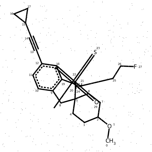 COC1CCC2(CC1)Cc1ccc(C#CC3CC3)cc1C21NC(=S)N(CCF)C1=O